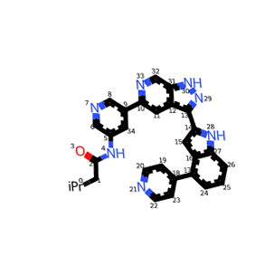 CC(C)CC(=O)Nc1cncc(-c2cc3c(-c4cc5c(-c6ccncc6)cccc5[nH]4)n[nH]c3cn2)c1